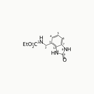 CCOC(=O)NCc1cccc2[nH]c(=O)[nH]c12